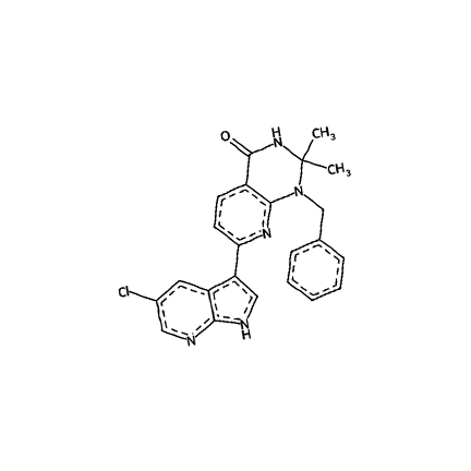 CC1(C)NC(=O)c2ccc(-c3c[nH]c4ncc(Cl)cc34)nc2N1Cc1ccccc1